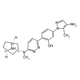 Cc1c(N)cnn1-c1ccc(-c2ccc(N(C)[C@@H]3C[C@H]4CC[C@@H](C3)N4)nn2)c(O)c1